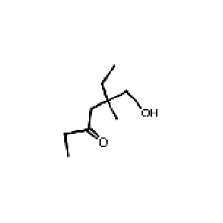 CCC(=O)CC(C)(CC)CO